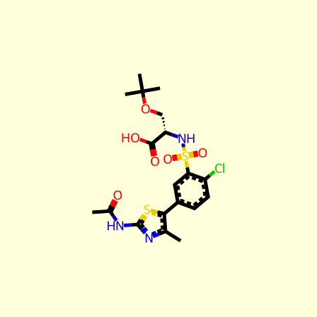 CC(=O)Nc1nc(C)c(-c2ccc(Cl)c(S(=O)(=O)N[C@@H](COC(C)(C)C)C(=O)O)c2)s1